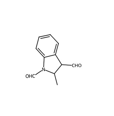 CC1C(C=O)c2ccccc2N1C=O